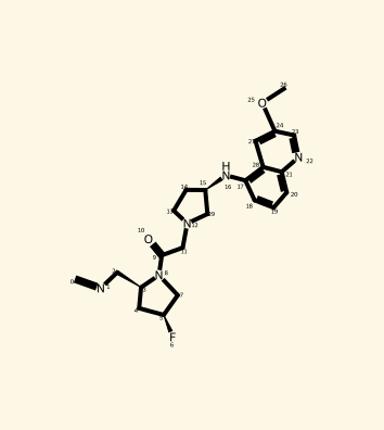 C=NC[C@@H]1C[C@H](F)CN1C(=O)CN1CC[C@@H](Nc2cccc3ncc(OC)cc23)C1